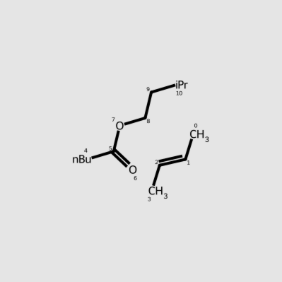 CC=CC.CCCCC(=O)OCCC(C)C